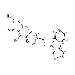 CCCC(O[C]=O)C(=O)[C@H](CCCCN)NC(=O)OCC1c2ccccc2-c2ccccc21